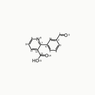 O=Cc1cccc(-c2ncccc2C(=O)O)c1